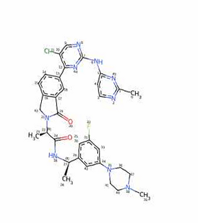 Cc1nccc(Nc2ncc(Cl)c(-c3ccc4c(c3)C(=O)N([C@H](C)C(=O)N[C@H](C)c3cc(F)cc(N5CCN(C)CC5)c3)C4)n2)n1